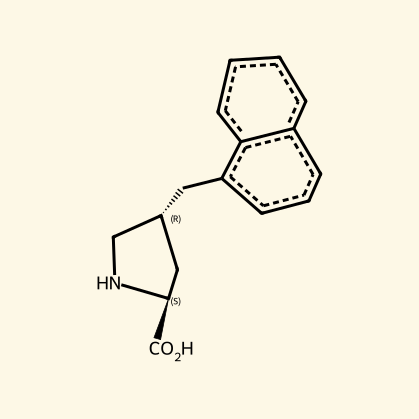 O=C(O)[C@@H]1C[C@@H](Cc2cccc3ccccc23)CN1